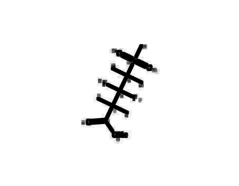 COC(=O)C(C)(C)C(F)(F)C(C)(C)S(C)(=O)=O